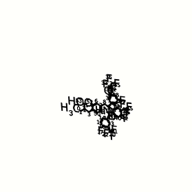 CCC(Cc1ccc(CC(NC(=O)c2ccc(F)c(C(F)(F)F)c2)(c2cc(F)cc(OC(F)(F)C(F)F)c2)c2ccc(F)c(C(F)(F)F)c2)cc1)C(=O)O